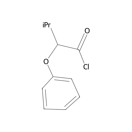 CC(C)C(Oc1ccccc1)C(=O)Cl